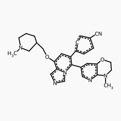 CN1CCCC(COc2cc(-c3ccc(C#N)cc3)c(-c3cnc4c(c3)OCCN4C)n3cncc23)C1